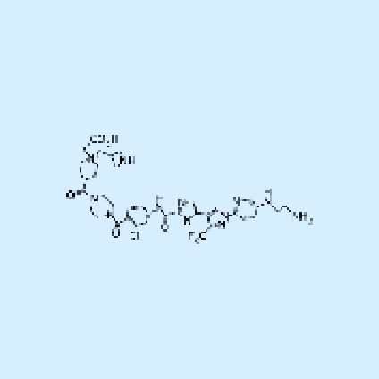 Cn1c(-c2cn(-c3ccc(NCCN)cn3)nc2C(F)(F)F)cnc1C(=O)Nc1ccc(C(=O)N2CCN(C(=O)C3CC[N+](CC(=O)O)(CC4CNC4)CC3)CC2)c(Cl)c1